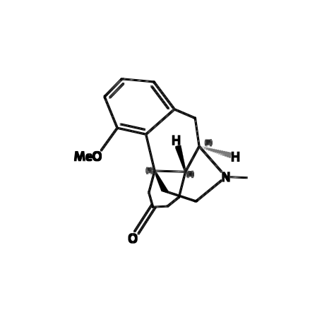 COc1cccc2c1[C@]13CCN(C)[C@H](C2)[C@@H]1CCC(=O)C3